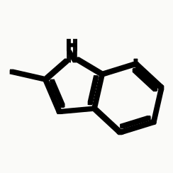 Cc1cc2ccc[c]c2[nH]1